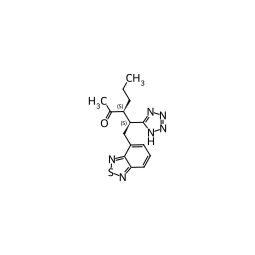 CCC[C@H](C(C)=O)[C@H](Cc1cccc2nsnc12)c1nnn[nH]1